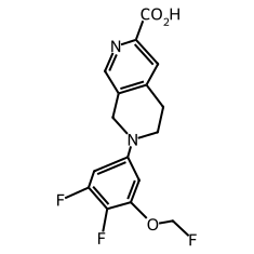 O=C(O)c1cc2c(cn1)CN(c1cc(F)c(F)c(OCF)c1)CC2